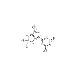 Fc1cc(Cl)cc(-n2cc(C(F)(F)F)c3c2CC(F)(F)C3)c1